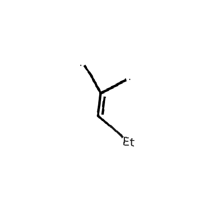 [CH2]C([CH2])=CCC